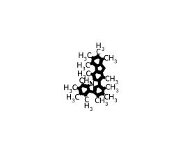 Cc1c(C)c(C)c2c(c1C)Cc1c-2c(C)c2c(c1C)c1c(C)c(C)c(C)c3c4c(C)c(C)c(C)c(C)c4n2c31